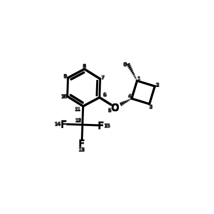 C[C@@H]1CC[C@@H]1Oc1ccccc1C(F)(F)F